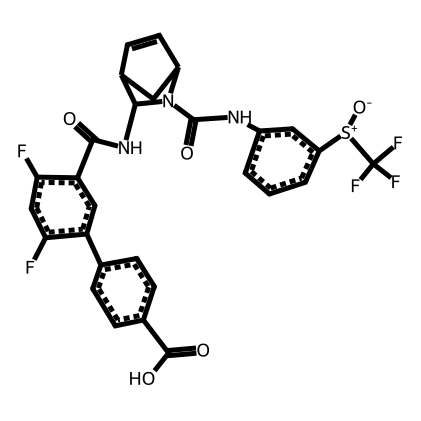 O=C(O)c1ccc(-c2cc(C(=O)NC3C4C=CC(C4)N3C(=O)Nc3cccc([S+]([O-])C(F)(F)F)c3)c(F)cc2F)cc1